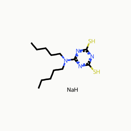 CCCCCN(CCCCC)c1nc(S)nc(S)n1.[NaH]